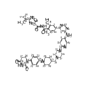 Cc1cc(-c2cc(Nc3ccc(N4CCN(CC5CCN(c6ccc(N7CCC(=O)NC7=O)cc6)CC5)CC4)nc3)ncn2)ccc1[C@@H](C)NC(=O)c1nc(C2(C)CC2)no1